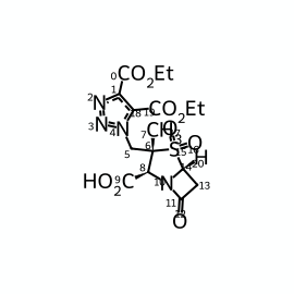 CCOC(=O)c1nnn(C[C@@]2(C)[C@H](C(=O)O)N3C(=O)C[C@H]3S2(=O)=O)c1C(=O)OCC